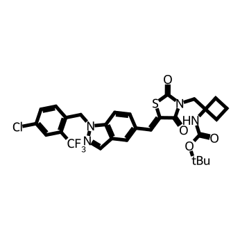 CC(C)(C)OC(=O)NC1(CN2C(=O)S/C(=C\c3ccc4c(cnn4Cc4ccc(Cl)cc4C(F)(F)F)c3)C2=O)CCC1